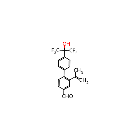 C=C(C)c1cc(C=O)ccc1-c1ccc(C(O)(C(F)(F)F)C(F)(F)F)cc1